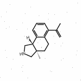 C=C(C)c1cccc2c1CC[C@@]1(C)CNC[C@H]21